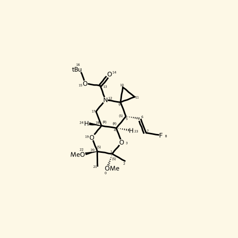 CO[C@@]1(C)O[C@@H]2[C@@H](C=CF)C3(CC3)N(C(=O)OC(C)(C)C)C[C@H]2O[C@]1(C)OC